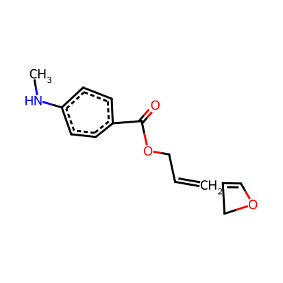 C1=COC1.C=CCOC(=O)c1ccc(NC)cc1